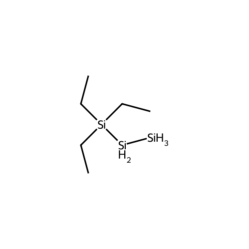 CC[Si](CC)(CC)[SiH2][SiH3]